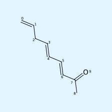 C=CCC=CC=CC(C)=O